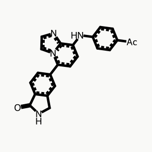 CC(=O)c1ccc(Nc2ccc(-c3ccc4c(c3)CNC4=O)n3ccnc23)cc1